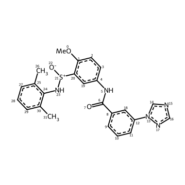 COc1ccc(NC(=O)c2cccc(-n3cncn3)c2)cc1[S+]([O-])Nc1c(C)cccc1C